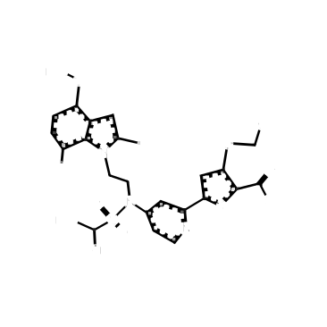 CCOc1cc(-c2cc(N(CCn3c(C)cc4c(OC)ccc(F)c43)S(=O)(=O)C(C)C)ccn2)sc1C(=O)O